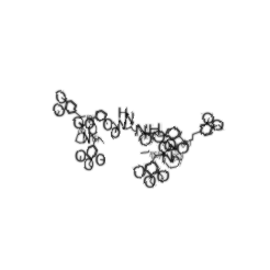 CC[C@H](C(=O)N1CCCC[C@H]1C(=O)O[C@H](CCc1ccc(OC)c(OC)c1)c1cccc(OCC(=O)NCC(CNC(=O)COc2cccc([C@@H](CCc3ccc(OC)c(OC)c3)OC(=O)[C@@H]3CCCCN3C(=O)[C@@H](CC)c3cc(OC)c(OC)c(OC)c3)c2)CN(C)C)c1)c1cc(OC)c(OC)c(OC)c1